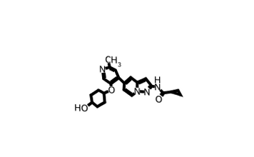 Cc1cc(-c2ccn3nc(NC(=O)C4CC4)cc3c2)c(OC2CCC(O)CC2)cn1